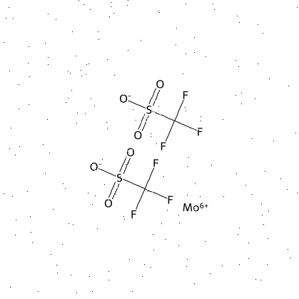 O=S(=O)([O-])C(F)(F)F.O=S(=O)([O-])C(F)(F)F.[Mo+6]